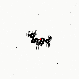 CC1=Cc2c(-c3cc(C(F)(F)F)cc(C(F)(F)F)c3)cccc2[CH]1[Hf]([CH]1C(C)=Cc2c(-c3cc(C(F)(F)F)cc(C(F)(F)F)c3)cccc21)[SiH](C)C